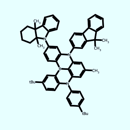 Cc1cc2c3c(c1)N(c1ccc4c(c1)C(C)(C)c1ccccc1-4)c1cc(N4c5ccccc5C5(C)CCCCC45C)ccc1B3c1cc(C(C)(C)C)ccc1N2c1ccc(C(C)(C)C)cc1